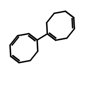 C1=CC=C(C2=CCC=CCCC2)CCC=C1